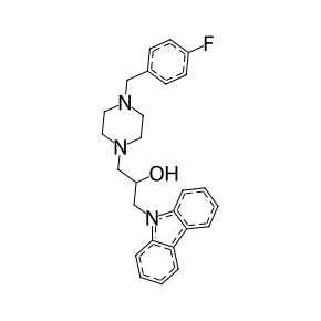 OC(CN1CCN(Cc2ccc(F)cc2)CC1)Cn1c2ccccc2c2ccccc21